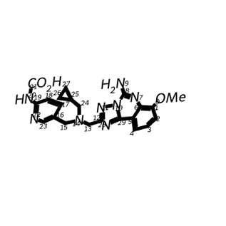 COc1cccc2c1nc(N)n1nc(CN(Cc3ccc(NC(=O)O)nc3)CC3CC3)nc21